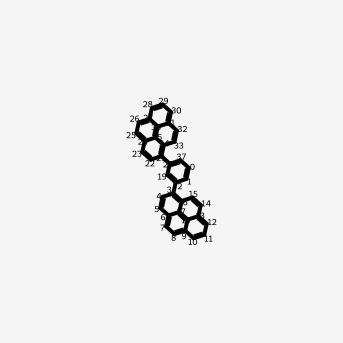 c1cc(-c2ccc3ccc4cccc5ccc2c3c45)cc(-c2ccc3ccc4cccc5ccc2c3c45)c1